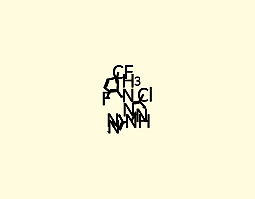 Cn1cc(Nc2ncc(Cl)c(NCc3cc(C(F)(F)F)ccc3F)n2)cn1